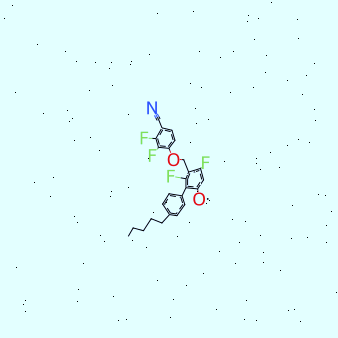 CCCCCc1ccc(-c2c([O])cc(F)c(COc3ccc(C#N)c(F)c3F)c2F)cc1